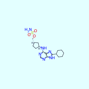 NS(=O)(=O)OC[C@H]1CC[C@H](Nc2ncnc3[nH]c(C4CCCCC4)nc23)C1